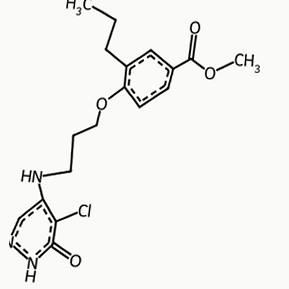 CCCc1cc(C(=O)OC)ccc1OCCCNc1cn[nH]c(=O)c1Cl